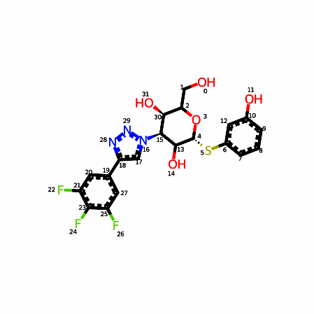 OCC1O[C@H](Sc2cccc(O)c2)C(O)[C@@H](n2cc(-c3cc(F)c(F)c(F)c3)nn2)[C@H]1O